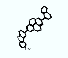 N#Cc1ccc2sc3ccc(-c4cc5ccc6cc(-c7cccc8ccccc78)cc7ccc(c4)c5c67)cc3c2c1